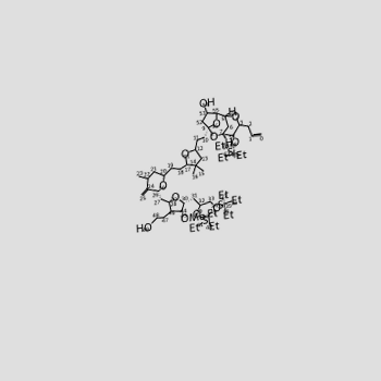 C=CCC1O[C@@H]2C[C@@H](O[C@@]3(CCC4CC(C)(C)C(CCC5CC(C)C(=C)[C@@H](CC6O[C@H](CC(CO[Si](CC)(CC)CC)O[Si](CC)(CC)CC)[C@H](OC)C6CCO)O5)O4)CC(O)C2O3)C1O[Si](CC)(CC)CC